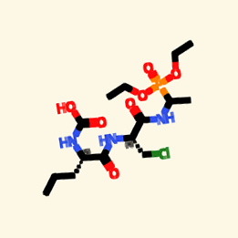 CCC[C@H](NC(=O)O)C(=O)N[C@@H](CCl)C(=O)NC(C)P(=O)(OCC)OCC